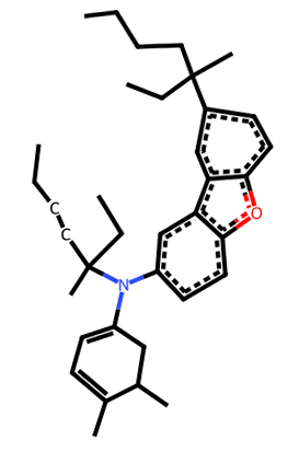 CCCCC(C)(CC)c1ccc2oc3ccc(N(C4=CC=C(C)C(C)C4)C(C)(CC)CCCC)cc3c2c1